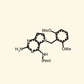 CCCC(C)Nc1nc(N)nc2ccn(Cc3c(OC)cccc3OC)c12